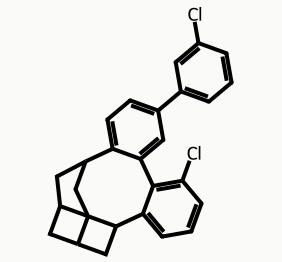 Clc1cccc(-c2ccc3c(c2)-c2c(Cl)cccc2C2CC4CC5CC3CC542)c1